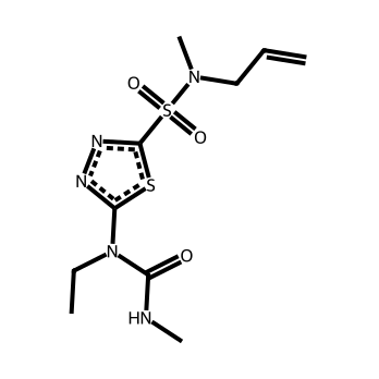 C=CCN(C)S(=O)(=O)c1nnc(N(CC)C(=O)NC)s1